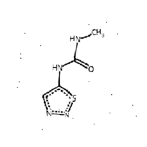 CNC(=O)Nc1cnns1